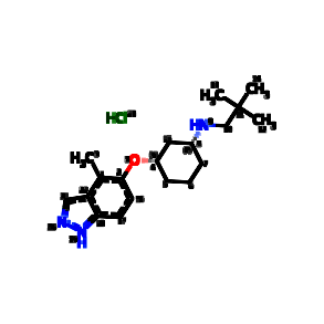 Cc1c(O[C@H]2CCC[C@@H](NCC(C)(C)C)C2)ccc2[nH]ncc12.Cl